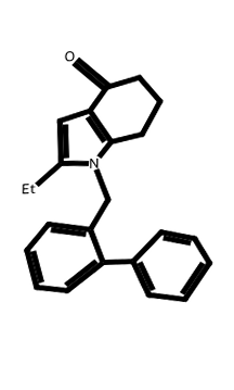 CCc1cc2c(n1Cc1ccccc1-c1ccccc1)CCCC2=O